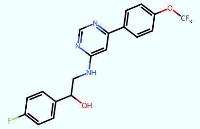 OC(CNc1cc(-c2ccc(OC(F)(F)F)cc2)ncn1)c1ccc(F)cc1